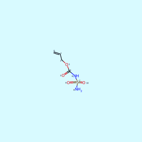 C=CCOC(=O)NS(N)(=O)=O